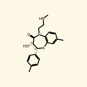 CNCCN1C(=O)[C@@H](O)[C@@H](c2ccc(C)cc2)Sc2cc(C)ccc21